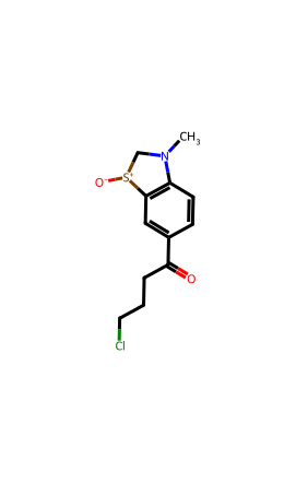 CN1C[S+]([O-])c2cc(C(=O)CCCCl)ccc21